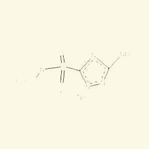 CCCCCNS(=O)(=O)c1n[nH]c(N)n1.N